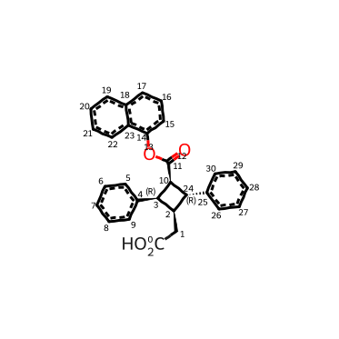 O=C(O)C[C@H]1[C@@H](c2ccccc2)[C@@H](C(=O)Oc2cccc3ccccc23)[C@@H]1c1ccccc1